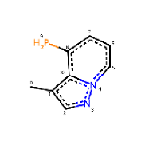 Cc1cnn2cccc(P)c12